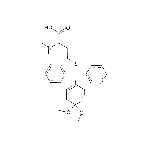 CNC(CCSC(C1=CCC(OC)(OC)C=C1)(c1ccccc1)c1ccccc1)C(=O)O